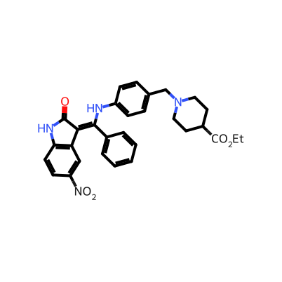 CCOC(=O)C1CCN(Cc2ccc(N/C(=C3\C(=O)Nc4ccc([N+](=O)[O-])cc43)c3ccccc3)cc2)CC1